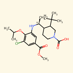 COC(=O)c1cc(Cl)c(OC(C)C)c(N[C@@H](C)C2CCN(C(=O)O)CC2C(C)(C)C)c1